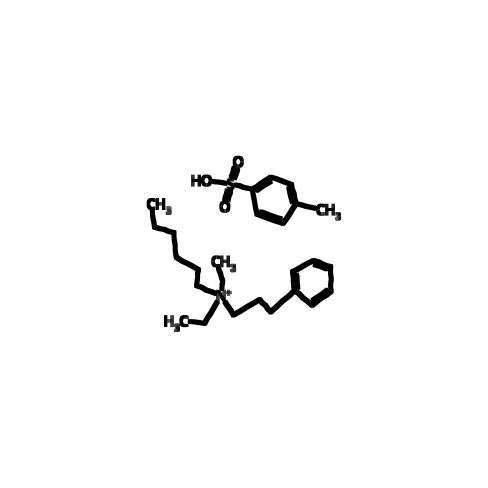 CCCCCC[N+](CC)(CC)CCCc1ccccc1.Cc1ccc(S(=O)(=O)O)cc1